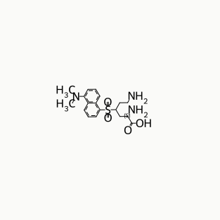 CN(C)c1cccc2c(S(=O)(=O)C(CCN)C[C@H](N)C(=O)O)cccc12